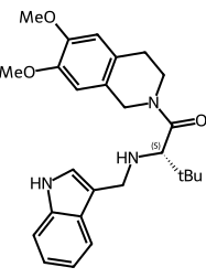 COc1cc2c(cc1OC)CN(C(=O)[C@@H](NCc1c[nH]c3ccccc13)C(C)(C)C)CC2